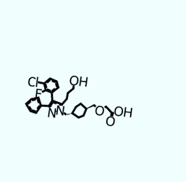 O=C(O)COC[C@H]1CC[C@H](Cn2nc(-c3ccccc3)c(-c3cccc(Cl)c3F)c2CCCO)CC1